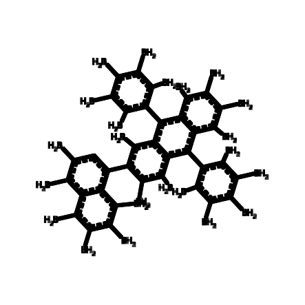 Bc1cc(-c2c(B)c(B)c3c(-c4c(B)c(B)c(B)c(B)c4B)c4c(B)c(B)c(B)c(B)c4c(-c4c(B)c(B)c(B)c(B)c4B)c3c2B)c2c(B)c(B)c(B)c(B)c2c1B